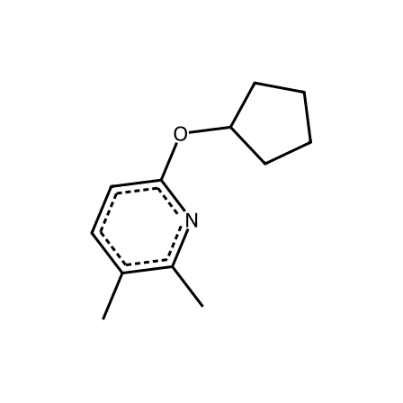 Cc1ccc(OC2CCCC2)nc1C